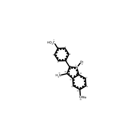 CCn1c(-c2ccc(C(=O)O)cc2)c(N)c2cc(OC)ccc21